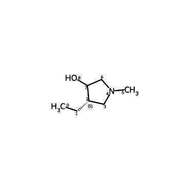 CC[C@H]1CN(C)CC1O